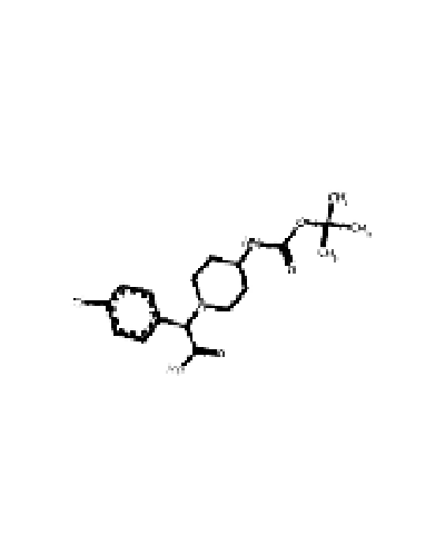 CC(C)(C)OC(=O)NC1CCN(C(C(=O)O)c2ccc(Cl)cc2)CC1